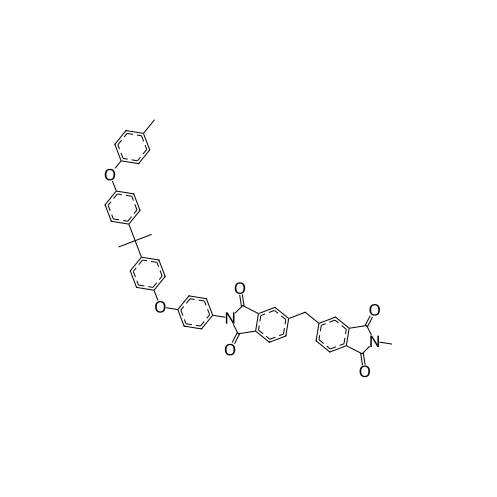 Cc1ccc(Oc2ccc(C(C)(C)c3ccc(Oc4ccc(N5C(=O)c6ccc(Cc7ccc8c(c7)C(=O)N(C)C8=O)cc6C5=O)cc4)cc3)cc2)cc1